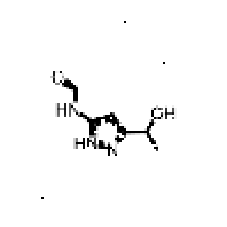 CC(O)c1cc(NC=O)[nH]n1